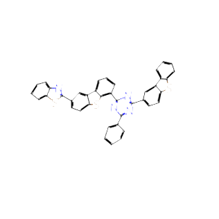 c1ccc(-c2nc(-c3ccc4sc5ccccc5c4c3)nc(-c3cccc4c3sc3ccc(-c5nc6ccccc6s5)cc34)n2)cc1